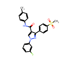 CS(=O)(=O)c1ccc(-c2nn(-c3cccc(F)c3)cc2C(=O)Nc2ccc(C(F)(F)F)cc2)cc1